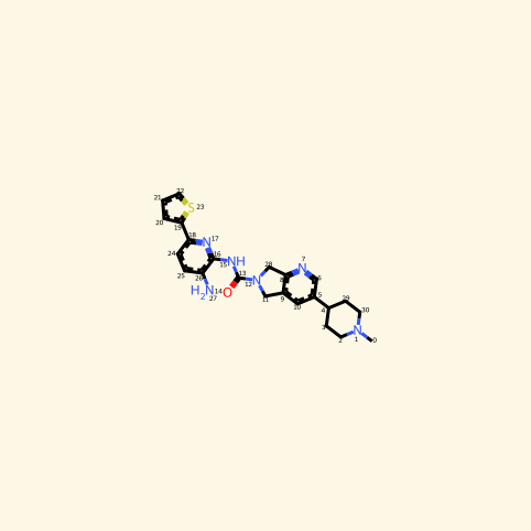 CN1CCC(c2cnc3c(c2)CN(C(=O)Nc2nc(-c4cccs4)ccc2N)C3)CC1